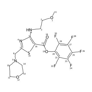 COCCNc1nc(CN2CCOCC2)sc1C(=O)Oc1c(F)c(F)c(F)c(F)c1F